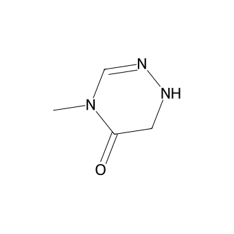 CN1C=NNCC1=O